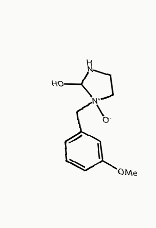 COc1cccc(C[N+]2([O-])CCNC2O)c1